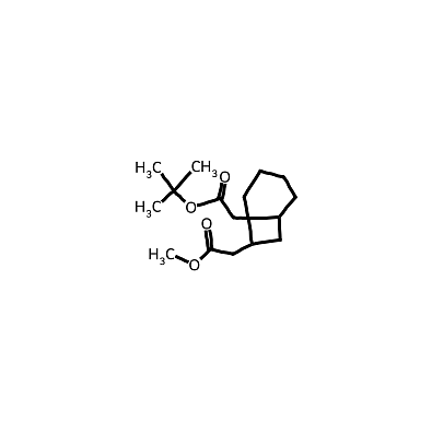 COC(=O)CC1CC2CCCCC21CC(=O)OC(C)(C)C